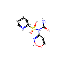 NC(=O)N(C1=NOOC=C1)S(=O)(=O)c1ccccn1